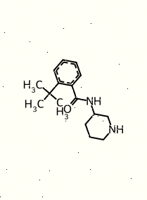 CC(C)(C)c1ccccc1C(=O)NC1CCCNC1